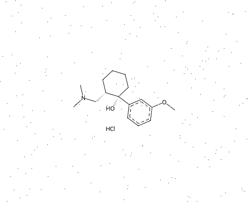 COc1cccc([C@]2(O)CCCC[C@H]2CN(C)C)c1.Cl